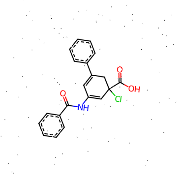 O=C(NC1=CC(Cl)(C(=O)O)CC(c2ccccc2)=C1)c1ccccc1